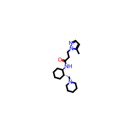 Cc1ccnn1CCC(=O)N[C@@H]1CCCC[C@H]1CN1CCCCC1